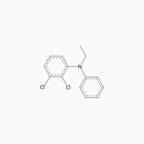 CCN(c1cc[c]cc1)c1cccc(Cl)c1Cl